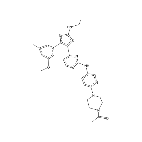 CCNc1nc(-c2cc(C)cc(OC)c2)c(-c2ccnc(Nc3ccc(N4CCN(C(C)=O)CC4)nc3)n2)s1